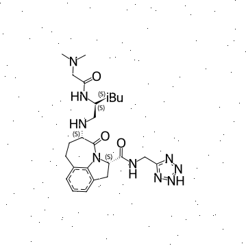 CC[C@H](C)[C@@H](CN[C@H]1CCc2cccc3c2N(C1=O)[C@H](C(=O)NCc1nn[nH]n1)C3)NC(=O)CN(C)C